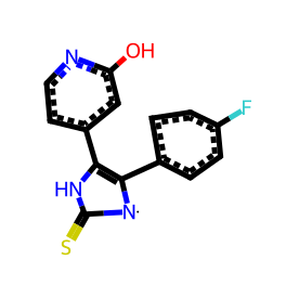 Oc1cc(C2=C(c3ccc(F)cc3)[N]C(=S)N2)ccn1